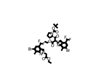 CCOC(=O)C(C(=O)[C@H]1CCCN1C(=O)OC(C)(C)C)n1cc2c(C(F)F)cc(Br)c(C)c2n1.CCOC(=O)Cn1cc2c(C(F)F)cc(Br)c(C)c2n1